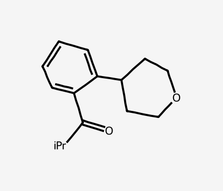 CC(C)C(=O)c1ccccc1C1CCOCC1